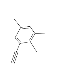 [C]#Cc1cc(C)cc(C)c1C